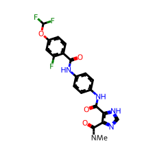 CNC(=O)c1nc[nH]c1C(=O)Nc1ccc(NC(=O)c2ccc(OC(F)F)cc2F)cc1